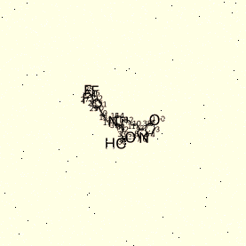 COc1ccc2nccc(CCC[C@@H]3CCN(CC#Cc4ccc(C(F)(F)F)cc4)C[C@@H]3CCC(=O)O)c2c1